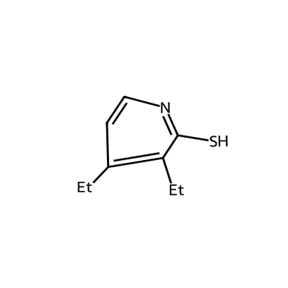 CCc1ccnc(S)c1CC